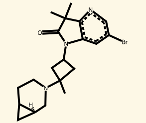 CC1(C)C(=O)N(C2CC(C)(N3CCC4C[C@@H]4C3)C2)c2cc(Br)cnc21